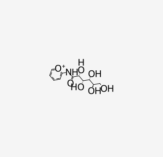 O=C(Nc1cccc[o+]1)[C@H](O)[C@@H](O)[C@H](O)[C@H](O)CO